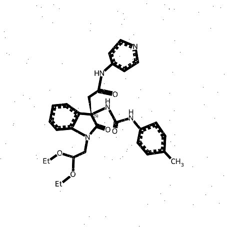 CCOC(CN1C(=O)[C@@](CC(=O)Nc2ccncc2)(NC(=O)Nc2ccc(C)cc2)c2ccccc21)OCC